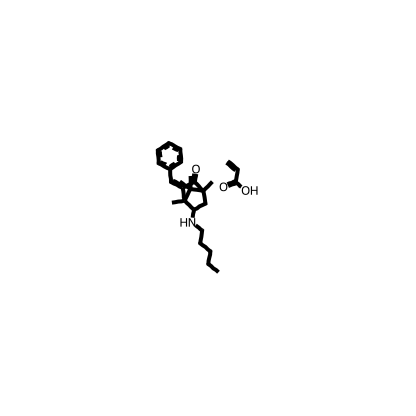 C=CC(=O)O.CCCCCNC1CC2(C)C(=O)C(=Cc3ccccc3)C1(C)C2(C)C